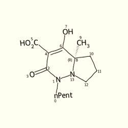 CCCCCN1C(=O)C(C(=O)O)=C(O)[C@@]2(C)CCCN12